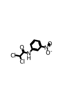 O=C(Nc1cccc([N+](=O)[O-])c1)C(Cl)Cl